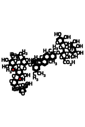 CC[C@H](C)C(=O)O[C@@H]1C(C)O[C@@H](OC(=O)[C@]23CCC(C)(C)CC2C2=CCC4[C@@]5(C)CC[C@H](O[C@H](OC(O)C(=O)O)C(O[C@@H]6OC(CO)[C@H](O)C(O)C6O)[C@@H](C)O[C@@H]6OC[C@@H](O)C(O)C6O)C(C)(C)C5CC[C@@]4(C)[C@]2(C)C[C@H]3O)C(O[C@@H]2OC(C)[C@H](O[C@H]3OCC(O)[C@H](O[C@]4(O)COCC4(O)CO)C3O)C(O)C2O)C1O[C@@H]1OC(C)[C@@H](O)C(O)C1O